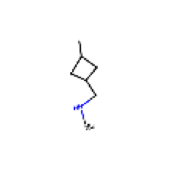 CC1CC(CNC(C)(C)C)C1